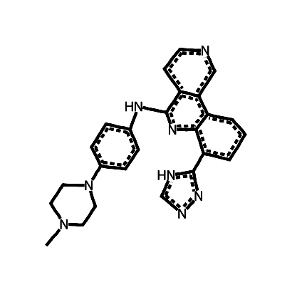 CN1CCN(c2ccc(Nc3nc4c(-c5nnc[nH]5)cccc4c4cnccc34)cc2)CC1